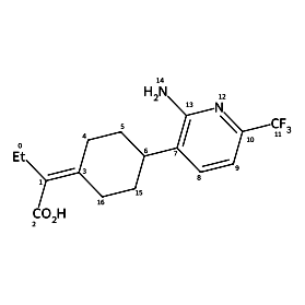 CCC(C(=O)O)=C1CCC(c2ccc(C(F)(F)F)nc2N)CC1